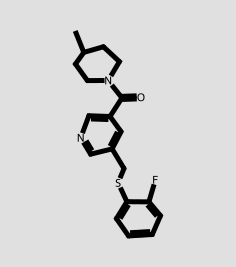 CC1CCN(C(=O)c2cncc(CSc3ccccc3F)c2)CC1